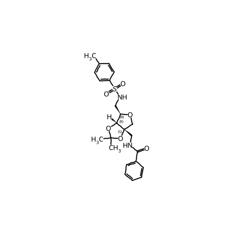 Cc1ccc(S(=O)(=O)NC[C@H]2OC[C@]3(CNC(=O)c4ccccc4)OC(C)(C)O[C@H]23)cc1